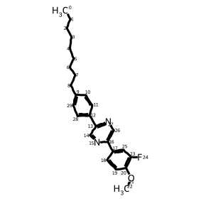 CCCCCCCCCc1ccc(-c2cnc(-c3ccc(OC)c(F)c3)cn2)cc1